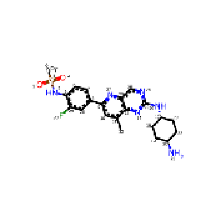 CCCS(=O)(=O)Nc1ccc(-c2cc(C)c3nc(N[C@H]4CC[C@H](N)CC4)ncc3n2)cc1F